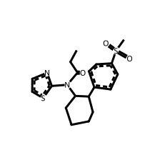 CCC(=O)N(c1nccs1)C1CCCCC1c1ccc(S(C)(=O)=O)cc1